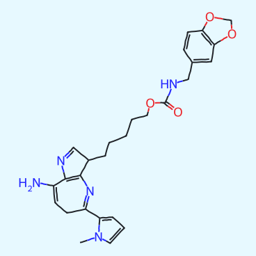 Cn1cccc1C1=NC2=C(N=CC2CCCCCOC(=O)NCc2ccc3c(c2)OCO3)C(N)=CC1